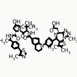 Cc1ncsc1-c1ccc(C(C)NC(=O)[C@@H]2C[C@@H](O)CN2C(=O)C(NC(=O)c2ccc3c(c2)CCCN3c2ccc(C3=N[C@@H](CC(=O)O)c4nnc(C)n4-c4sc(C)c(C)c43)cc2)C(C)(C)C)cc1